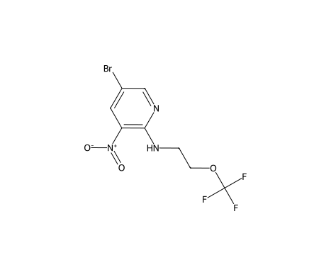 O=[N+]([O-])c1cc(Br)cnc1NCCOC(F)(F)F